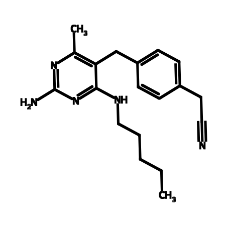 CCCCCNc1nc(N)nc(C)c1Cc1ccc(CC#N)cc1